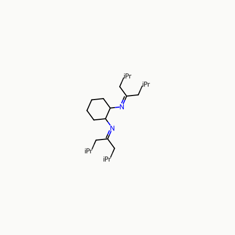 CC(C)CC(CC(C)C)=NC1CCCCC1N=C(CC(C)C)CC(C)C